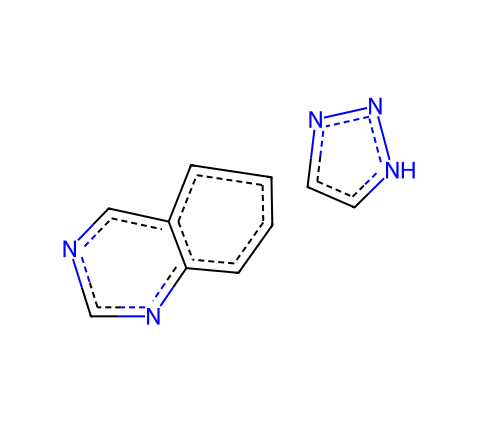 c1c[nH]nn1.c1ccc2ncncc2c1